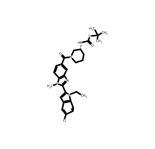 CCn1c(-c2nc3cc(C(=O)N4CCC[C@@H](NC(=O)OC(C)(C)C)C4)ccc3n2C)cc2cc(Cl)ccc21